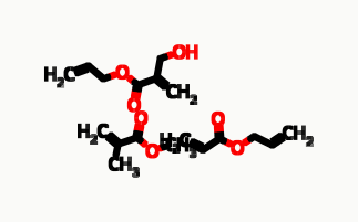 C=C(C)C(=O)OC.C=CCOC(=O)C(=C)CO.C=CCOC(=O)C=C